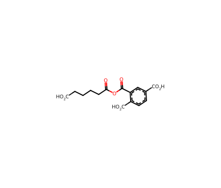 O=C(O)CCCCC(=O)OC(=O)c1cc(C(=O)O)ccc1C(=O)O